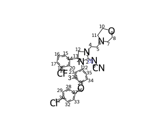 N#C/N=C1/N(CCN2CCOCC2)CC(c2cccc(C(F)(F)F)c2)N1c1ccc(Oc2ccc(Cl)cc2)cc1